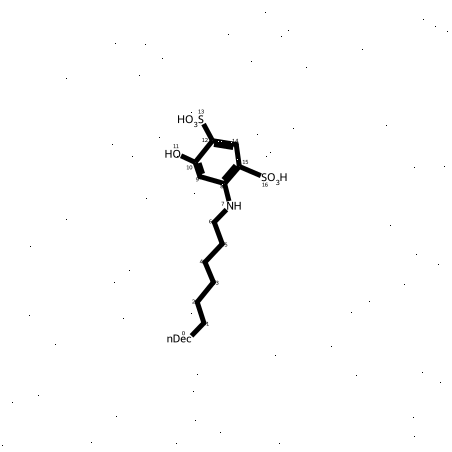 CCCCCCCCCCCCCCCCNc1cc(O)c(S(=O)(=O)O)cc1S(=O)(=O)O